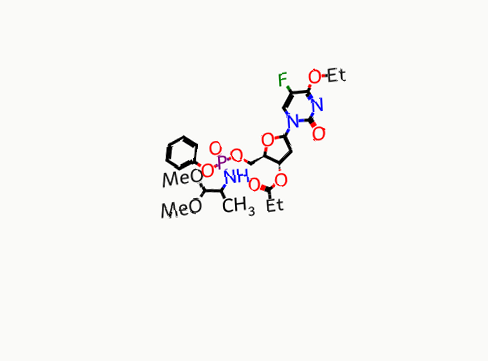 CCOc1nc(=O)n(C2C[C@H](OC(=O)CC)[C@@H](COP(=O)(NC(C)C(OC)OC)Oc3ccccc3)O2)cc1F